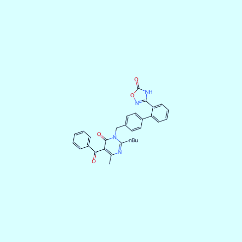 CCCCc1nc(C)c(C(=O)c2ccccc2)c(=O)n1Cc1ccc(-c2ccccc2-c2noc(=O)[nH]2)cc1